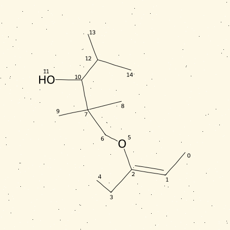 CC=C(CC)OCC(C)(C)C(O)C(C)C